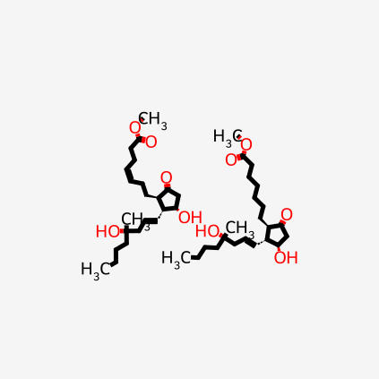 CCCCC(C)(O)C/C=C/[C@H]1[C@H](O)CC(=O)[C@@H]1CC/C=C\CCC(=O)OC.CCCCC(C)(O)C/C=C/[C@H]1[C@H](O)CC(=O)[C@@H]1CCCCCCC(=O)OC